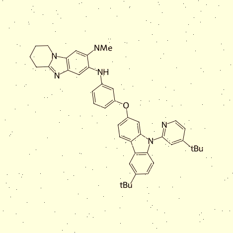 CNc1cc2c(cc1Nc1cccc(Oc3ccc4c5cc(C(C)(C)C)ccc5n(-c5cc(C(C)(C)C)ccn5)c4c3)c1)nc1n2CCCC1